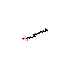 CCOC(=O)CCCCC1CC1(C)CCCCCCCCC(C)(C)C